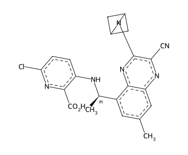 Cc1cc([C@@H](C)Nc2ccc(Cl)nc2C(=O)O)c2nc(N3CC4CC3C4)c(C#N)nc2c1